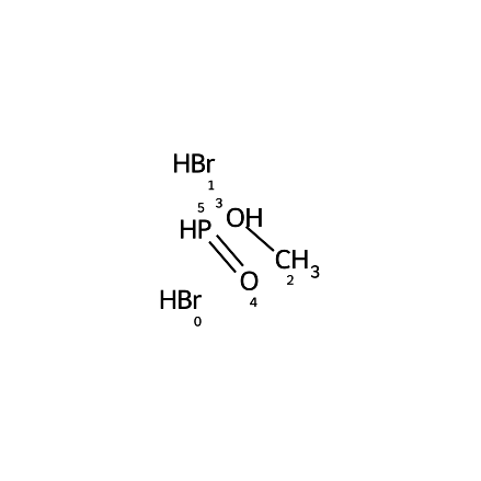 Br.Br.CO.O=P